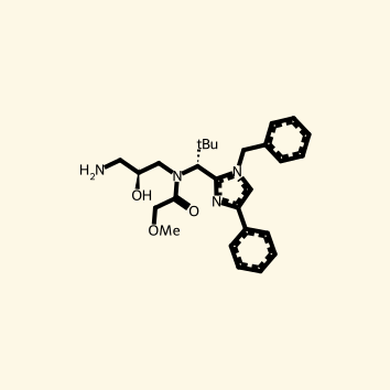 COCC(=O)N(C[C@@H](O)CN)[C@@H](c1nc(-c2ccccc2)cn1Cc1ccccc1)C(C)(C)C